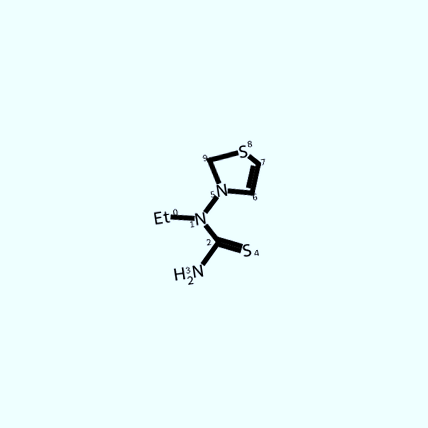 CCN(C(N)=S)N1C=CSC1